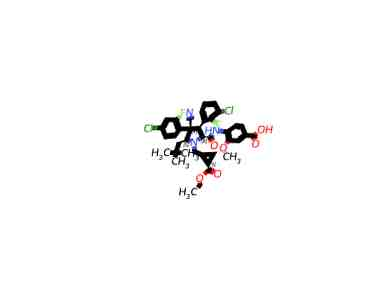 CCOC(=O)[C@H]1CC1CN1[C@@H](CC(C)(C)C)[C@](C#N)(c2ccc(Cl)cc2F)[C@@H](c2cccc(Cl)c2F)[C@@H]1C(=O)Nc1ccc(C(=O)O)cc1OC